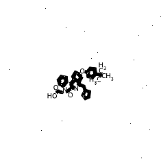 CC(C)(C)c1ccc(Oc2ccc3cc(C(=O)N(CC(=O)O)c4ccccc4)nc(CC4CCCC4)c3c2)cc1